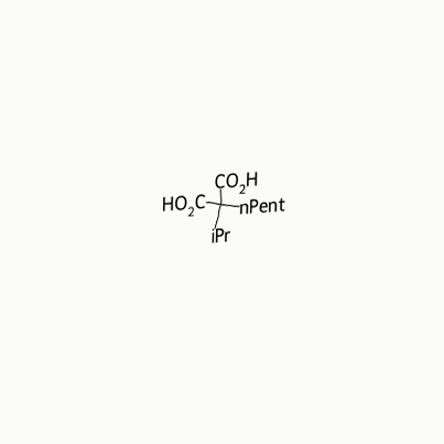 CCCCCC(C(=O)O)(C(=O)O)C(C)C